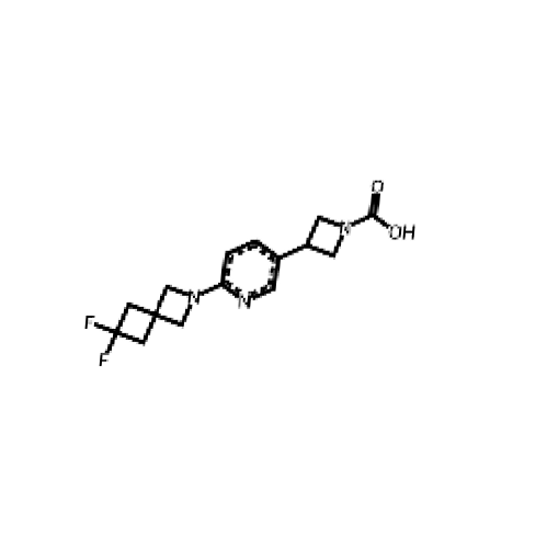 O=C(O)N1CC(c2ccc(N3CC4(C3)CC(F)(F)C4)nc2)C1